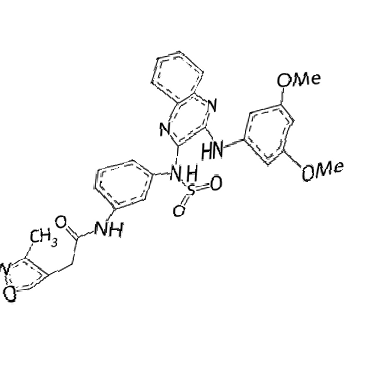 COc1cc(Nc2nc3ccccc3nc2N(c2cccc(NC(=O)Cc3conc3C)c2)[SH](=O)=O)cc(OC)c1